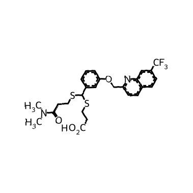 CN(C)C(=O)CCSC(SCCC(=O)O)c1cccc(OCc2ccc3ccc(C(F)(F)F)cc3n2)c1